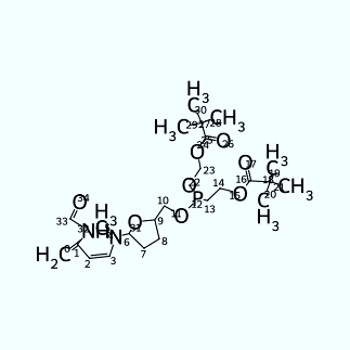 C=C(/C=C\N(C)C1CCC(COP(CCOC(=O)C(C)(C)C)OCOC(=O)C(C)(C)C)O1)NC=O